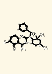 CC(NC(=O)N(Cc1ccccc1)C1CCN(C)CC1(C)C)c1cccc(Cl)c1Cl